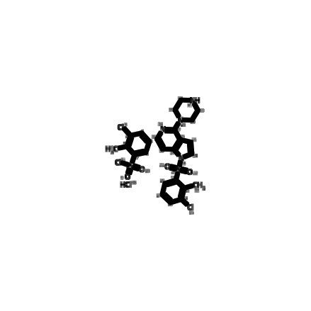 Cc1c(Cl)cccc1S(=O)(=O)Cl.Cc1c(Cl)cccc1S(=O)(=O)n1ccc2c(N3CCNCC3)nccc21.Cl